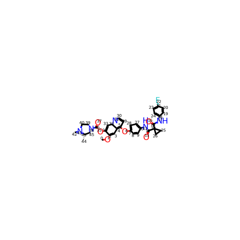 COc1cc2c(Oc3ccc(NC(=O)C4(C(=O)Nc5ccc(F)cc5)CC4)cc3)ccnc2cc1OC(=O)N1CCN(C)[C@@H](C)C1